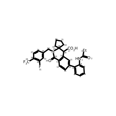 CCC(=O)Nc1ccccc1-c1ccc2c(c1)C(C(=O)O)C1(CCCC1)N(Cc1ccc(C(F)(F)F)c(F)c1)C2=O